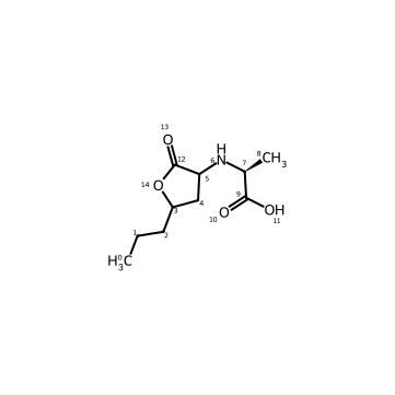 CCCC1CC(N[C@@H](C)C(=O)O)C(=O)O1